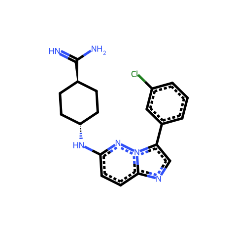 N=C(N)[C@H]1CC[C@H](Nc2ccc3ncc(-c4cccc(Cl)c4)n3n2)CC1